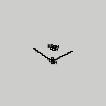 CCCCCCCCCCCCCCOP(=O)(O)OCCCCCCCCCCCCCC.O=P(O)(O)O